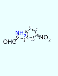 N[C@H](C=O)Cc1cccc([N+](=O)[O-])c1